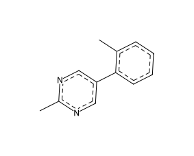 Cc1ncc(-c2ccccc2C)cn1